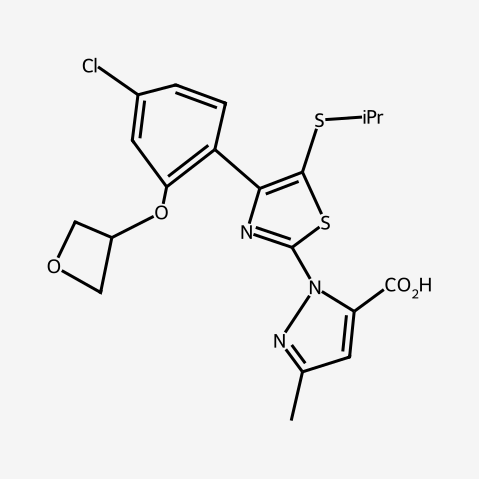 Cc1cc(C(=O)O)n(-c2nc(-c3ccc(Cl)cc3OC3COC3)c(SC(C)C)s2)n1